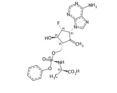 C=C1[C@@H](n2cnc3c(N)ncnc32)[C@@H](F)[C@H](O)[C@H]1CO[P@](=O)(N[C@H](C)C(=O)O)Oc1ccccc1